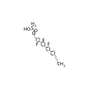 C=C(CO)C(=O)OCCc1ccc(-c2ccc(-c3ccc(-c4ccc(CCCCC)cc4)cc3F)cc2F)c(F)c1